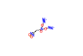 CS(=O)(=O)c1ncc(C#CCCCC(=O)N(CCOCCN=[N+]=[N-])CCOCCN=[N+]=[N-])cn1